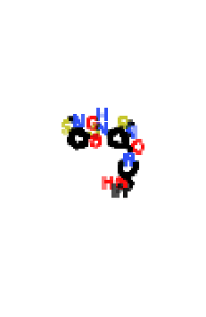 CC(C)CC1(O)CCN(C(=O)c2ccc(NS(=O)(=O)c3cccc4scnc34)c3scnc23)CC1